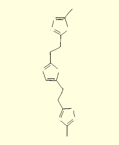 Cc1noc(CCc2cnc(CCc3nnc(C)s3)s2)n1